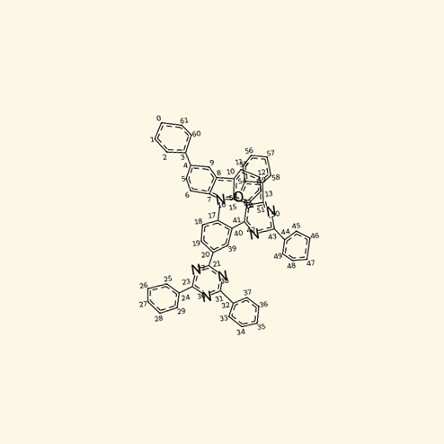 c1ccc(-c2ccc3c(c2)c2ccccc2n3-c2ccc(-c3nc(-c4ccccc4)nc(-c4ccccc4)n3)cc2-c2nc(-c3ccccc3)nc3c2oc2ccccc23)cc1